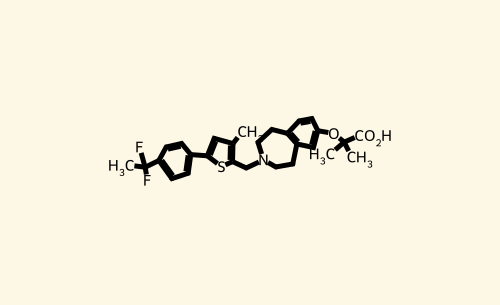 Cc1cc(-c2ccc(C(C)(F)F)cc2)sc1CN1CCc2ccc(OC(C)(C)C(=O)O)cc2CC1